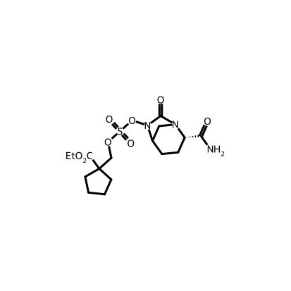 CCOC(=O)C1(COS(=O)(=O)ON2C(=O)N3CC2CC[C@H]3C(N)=O)CCCC1